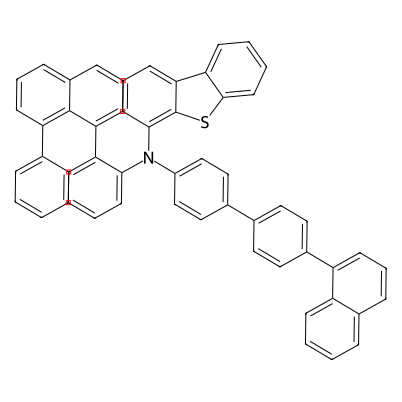 c1ccc(-c2cccc3cccc(-c4ccccc4N(c4ccc(-c5ccc(-c6cccc7ccccc67)cc5)cc4)c4cccc5c4sc4ccccc45)c23)cc1